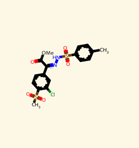 COC(=O)/C(=N\NS(=O)(=O)c1ccc(C)cc1)c1ccc(S(C)(=O)=O)c(Cl)c1